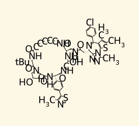 Cc1ncsc1-c1ccc([C@@H]2NC(=O)[C@@H]3C[C@@H](O)CN3C(=O)[C@H](C(C)(C)C)NC(=O)CCCCCNC(=O)[C@@H](CNC(=O)C[C@@H]3N=C(c4ccc(Cl)cc4)c4c(sc(C)c4C)-n4c(C)nnc43)NC(O)CNC2=O)cc1